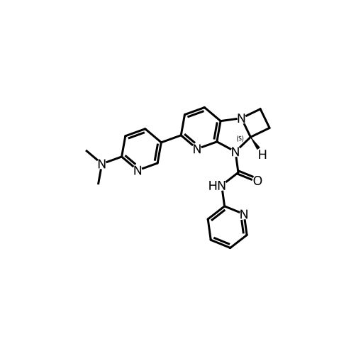 CN(C)c1ccc(-c2ccc3c(n2)N(C(=O)Nc2ccccn2)[C@H]2CCN32)cn1